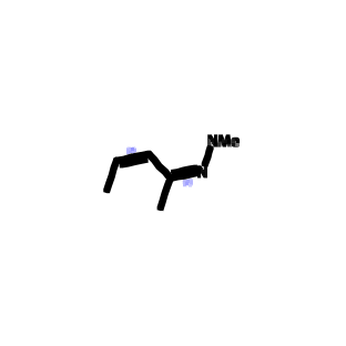 C/C=C\C(C)=N/NC